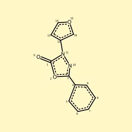 O=c1oc(-c2ccccc2)nn1-c1ccoc1